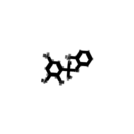 CCCC(CC)(Pc1ccccc1C(F)(F)F)c1cc(C)cc(C)c1O